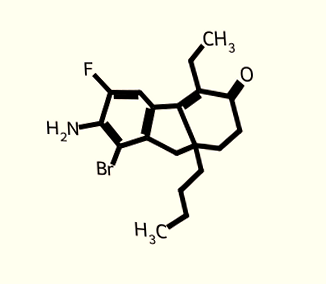 CCCCC12CCC(=O)C(CC)=C1c1cc(F)c(N)c(Br)c1C2